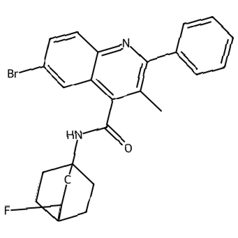 Cc1c(-c2ccccc2)nc2ccc(Br)cc2c1C(=O)NC12CCC(CC1)C(F)C2